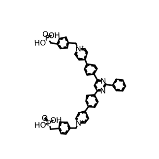 O=P(O)(O)Cc1ccc(C[n+]2ccc(-c3ccc(-c4cc(-c5ccc(-c6cc[n+](Cc7ccc(CP(=O)(O)O)cc7)cc6)cc5)nc(-c5ccccc5)n4)cc3)cc2)cc1